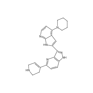 C1=C(c2ccc3[nH]nc(-c4cc5c(N6CCCCC6)ccnc5[nH]4)c3n2)CCNC1